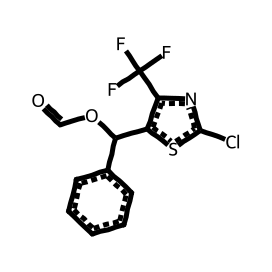 O=COC(c1ccccc1)c1sc(Cl)nc1C(F)(F)F